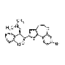 CN(C)/C=C(/C(=O)c1cc2c(s1)-c1ccc(Br)cc1OCC2)c1ccccc1Cl